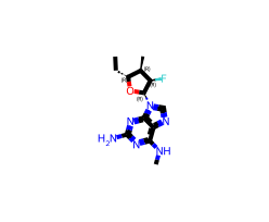 CC[C@H]1O[C@@H](n2cnc3c(NC)nc(N)nc32)[C@H](F)[C@@H]1C